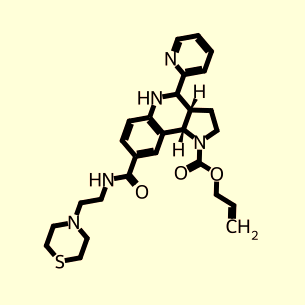 C=CCOC(=O)N1CC[C@H]2C(c3ccccn3)Nc3ccc(C(=O)NCCN4CCSCC4)cc3[C@H]21